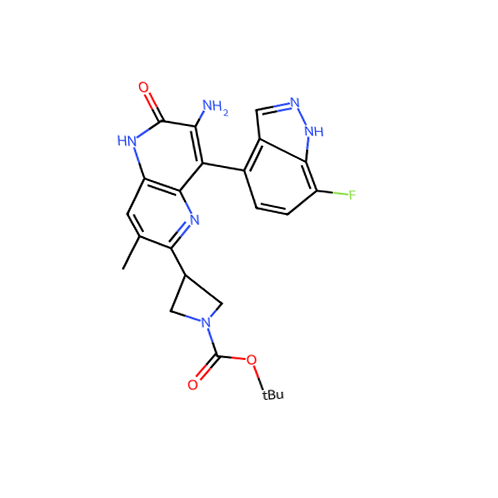 Cc1cc2[nH]c(=O)c(N)c(-c3ccc(F)c4[nH]ncc34)c2nc1C1CN(C(=O)OC(C)(C)C)C1